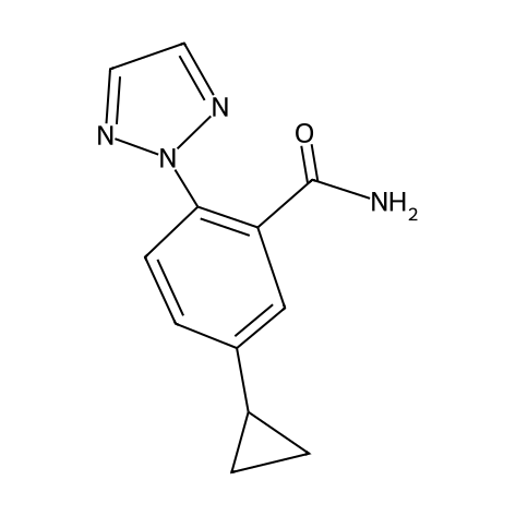 NC(=O)c1cc(C2CC2)ccc1-n1nccn1